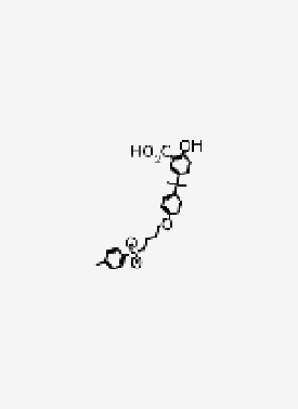 Cc1ccc(S(=O)(=O)CCCCOc2ccc(C(C)(C)c3ccc(O)c(C(=O)O)c3)cc2)cc1